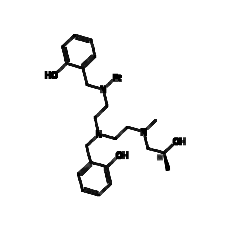 CCN(CCN(CCN(C)C[C@H](C)O)Cc1ccccc1O)Cc1ccccc1O